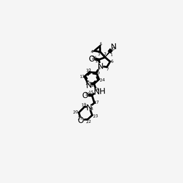 N#C[C@@]1(C2CC2)CCN(c2ccnc(NC(=O)CN3CCOCC3)c2)C1=O